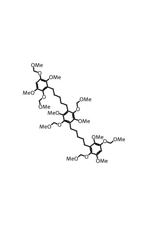 COCOc1cc(OC)c(OCOC)c(CCCCCc2c(OC)c(OCOC)c(CCCCCc3c(OC)c(OCOC)cc(OC)c3OCOC)c(OC)c2OCOC)c1OC